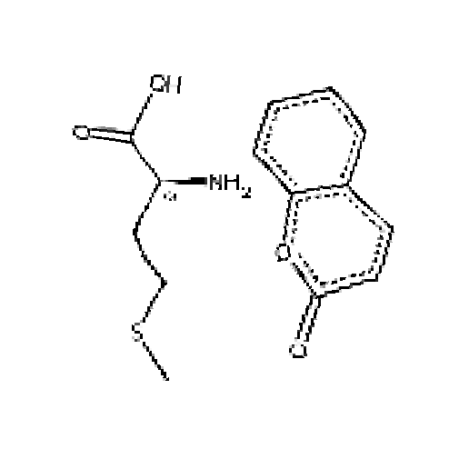 CSCC[C@H](N)C(=O)O.O=c1ccc2ccccc2o1